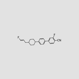 N#Cc1ccc(-c2ccc(C3CCC(C/C=C/F)CC3)cc2)cc1F